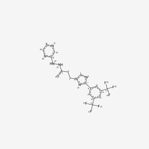 O=C(CCn1cnc(-c2cc(C(F)(F)F)cc(C(F)(F)F)c2)n1)NNc1cnccn1